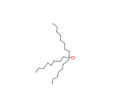 CCCCCCCCC([O])(CCCCCCC)CCCCCCCC